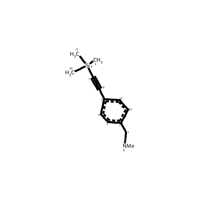 CNCc1ccc(C#C[Si](C)(C)C)cc1